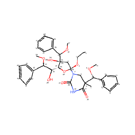 CCO[C@]1(N2CC(C)(C(OC)c3ccccc3)C(=O)NC2=O)C[C@@](O)(C(OC)c2ccccc2)[C@@H](C(O)C(OC)c2ccccc2)O1